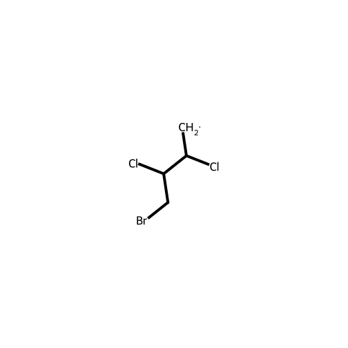 [CH2]C(Cl)C(Cl)CBr